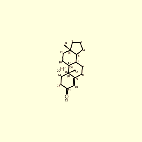 C[C@@]12CCCC1C1CCC3=CC(=O)CC[C@]3(C)[C@H]1CC2